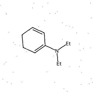 CCN(CC)C1=CCCC=C1